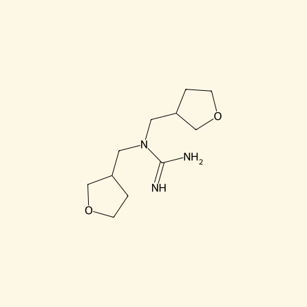 N=C(N)N(CC1CCOC1)CC1CCOC1